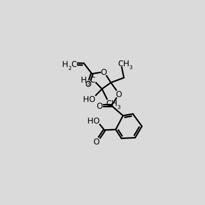 C=CC(=O)OC(CC)(OC(=O)c1ccccc1C(=O)O)C(C)(C)O